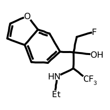 CCNC(C(F)(F)F)C(O)(CF)c1ccc2ccoc2c1